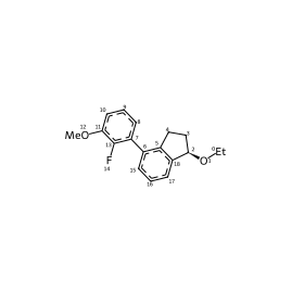 CCO[C@@H]1CCc2c(-c3cccc(OC)c3F)cccc21